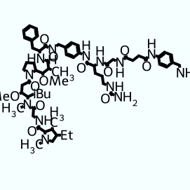 CCC(C)C(C(CC(=O)N1CCCC1C(OC)C(C)C(=O)NC(Cc1ccccc1)C(=O)NCc1ccc(NC(=O)C(CCCNC(N)=O)NC(=O)CNC(=O)CCC(=O)Nc2ccc(CN)cc2)cc1)OC)N(C)C(=O)CNC(=O)C1C(C)C(CC)CN1C